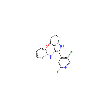 O=C1CCCc2[nH]c(-c3cc(F)ncc3F)c(Nc3ccccc3)c21